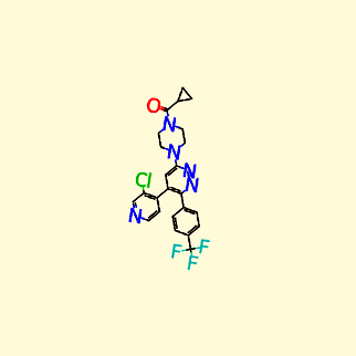 O=C(C1CC1)N1CCN(c2cc(-c3ccncc3Cl)c(-c3ccc(C(F)(F)F)cc3)nn2)CC1